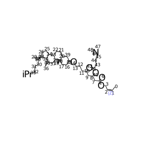 C/C=C\COC(=O)CC(CCCCCO[C@H]1CC[C@@]2(C)C(=CCC3C4CC[C@H]([C@H](C)CCCC(C)C)C4[C@H](C)CC32)C1)OC(=O)CCCN(C)C